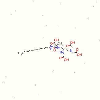 CCCCCCCCCCCNC(=O)C(C)(NCC(CCN(CC(=O)O)CC(=O)O)NCC(=O)O)C(=O)O